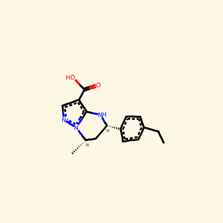 CCc1ccc([C@@H]2C[C@H](C)n3ncc(C(=O)O)c3N2)cc1